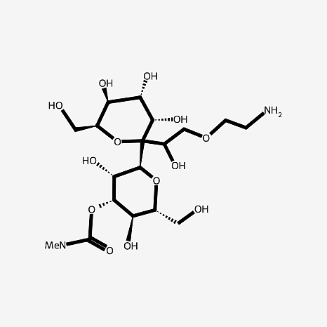 CNC(=O)O[C@H]1[C@H](O)[C@@H](CO)O[C@H](C2(C(O)COCCN)O[C@@H](CO)[C@@H](O)[C@H](O)[C@@H]2O)[C@H]1O